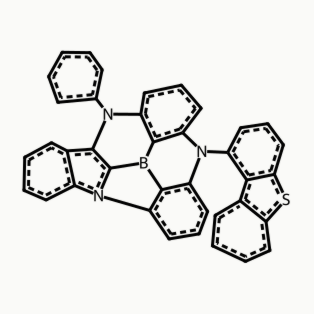 c1ccc(N2c3cccc4c3B3c5c(cccc5-n5c3c2c2ccccc25)N4c2cccc3sc4ccccc4c23)cc1